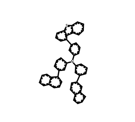 c1cc(-c2ccc3ccccc3c2)cc(N(c2cccc(-c3cccc4ccccc34)c2)c2cccc(-c3cccc4sc5ccccc5c34)c2)c1